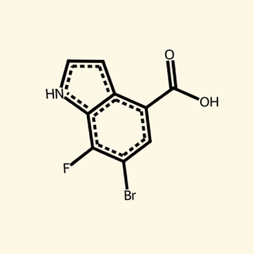 O=C(O)c1cc(Br)c(F)c2[nH]ccc12